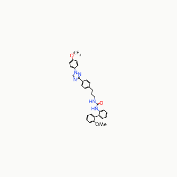 COc1ccccc1-c1ccccc1NC(=O)NCCCc1ccc(-c2ncn(-c3ccc(OC(F)(F)F)cc3)n2)cc1